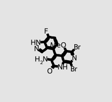 COc1c(Br)nc(Br)c2[nH]c(=O)c(N)c(-c3ccc(F)c4[nH]ncc34)c12